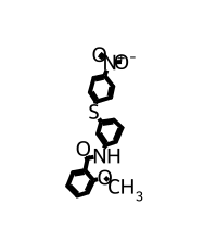 COc1ccccc1C(=O)Nc1cccc(Sc2ccc([N+](=O)[O-])cc2)c1